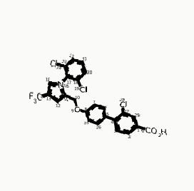 O=C(O)c1ccc(-c2ccc(OCc3cc(C(F)(F)F)cn3-c3c(Cl)cccc3Cl)cc2)c(Cl)c1